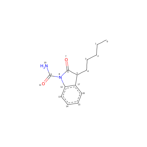 CCCCCC1C(=O)N(C(N)=O)c2ccccc21